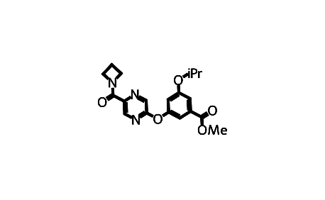 COC(=O)c1cc(Oc2cnc(C(=O)N3CCC3)cn2)cc(OC(C)C)c1